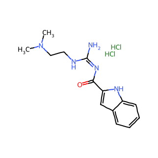 CN(C)CCNC(N)=NC(=O)c1cc2ccccc2[nH]1.Cl.Cl